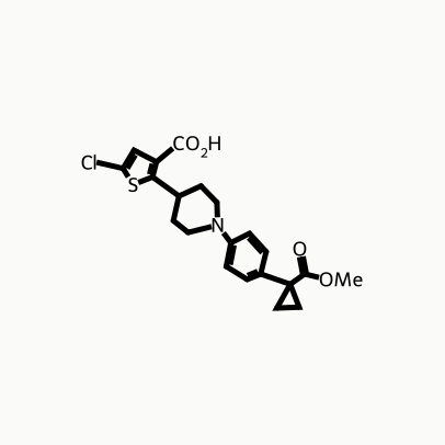 COC(=O)C1(c2ccc(N3CCC(c4sc(Cl)cc4C(=O)O)CC3)cc2)CC1